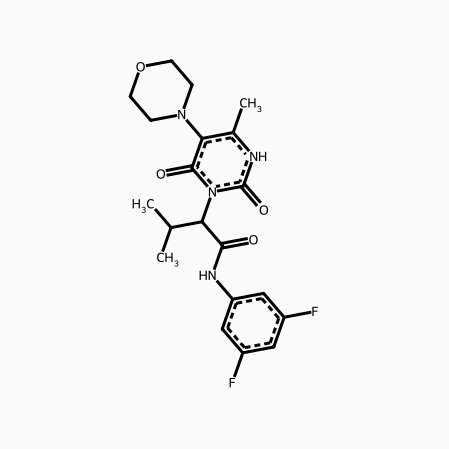 Cc1[nH]c(=O)n(C(C(=O)Nc2cc(F)cc(F)c2)C(C)C)c(=O)c1N1CCOCC1